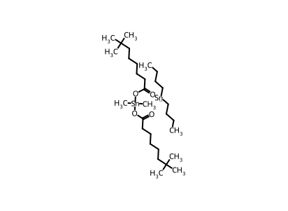 CC(C)(C)CCCCCC(=O)[O][Sn]([CH3])([CH3])[O]C(=O)CCCCCC(C)(C)C.CCC[CH2][Sn][CH2]CCC